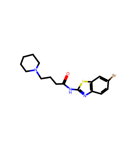 O=C(CCCN1CCCCC1)Nc1nc2ccc(Br)cc2s1